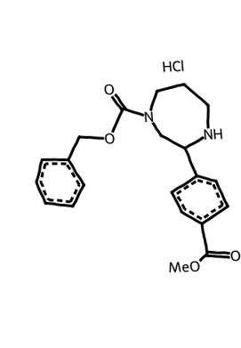 COC(=O)c1ccc(C2CN(C(=O)OCc3ccccc3)CCCN2)cc1.Cl